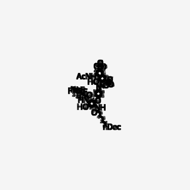 CCCCCCCCCCCCCCCC(=O)Nc1cc(O)c(NC(=O)C(F)(F)C(F)(F)C(F)(F)F)cc1Oc1ccc(N=Nc2c(S(=O)(=O)[O-])cc3cc(S(=O)(=O)[O-])cc(NC(C)=O)c3c2O)cc1.[Na+].[Na+]